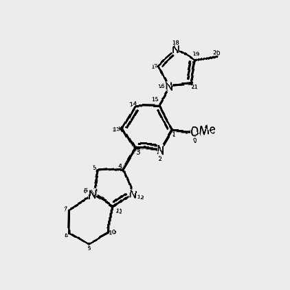 COc1nc(C2CN3CCCCC3=N2)ccc1-n1cnc(C)c1